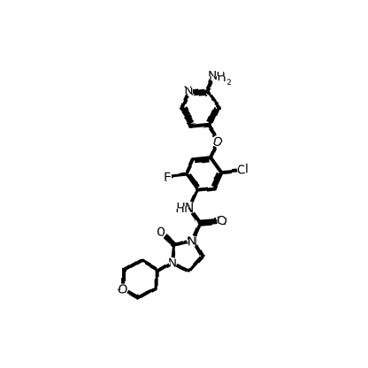 Nc1cc(Oc2cc(F)c(NC(=O)N3CCN(C4CCOCC4)C3=O)cc2Cl)ccn1